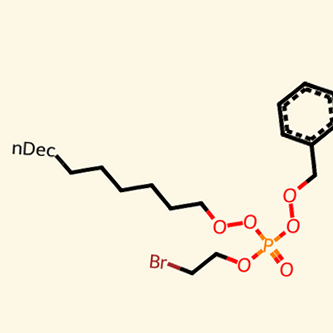 CCCCCCCCCCCCCCCCOOP(=O)(OCCBr)OOCc1ccccc1